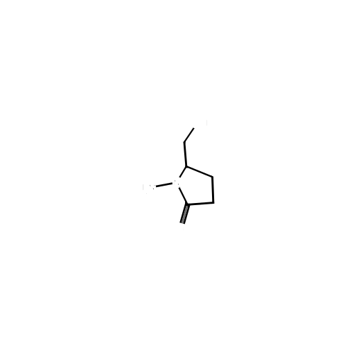 NN1C(=O)CCC1CO